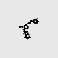 O[C@@H]1CN(CC=Cc2ccccc2)CC[C@@H]1Nc1nc2ccccc2s1